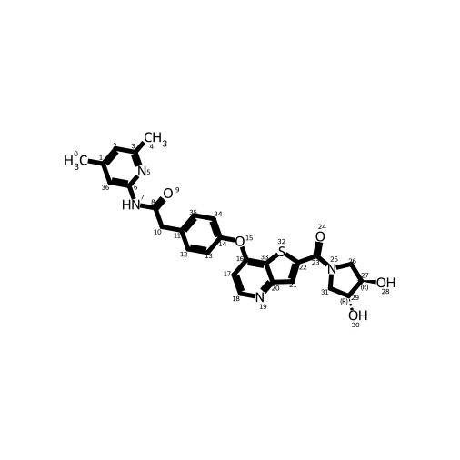 Cc1cc(C)nc(NC(=O)Cc2ccc(Oc3ccnc4cc(C(=O)N5C[C@@H](O)[C@H](O)C5)sc34)cc2)c1